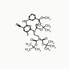 COC(=O)c1cccc(Nc2nc(N(CCN(C(=O)OC(C)(C)C)C(=O)OC(C)(C)C)C(=O)OC(C)(C)C)c(F)cc2C#N)c1